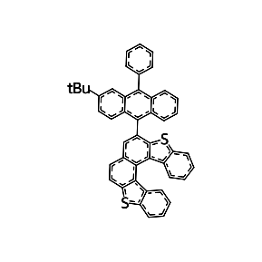 CC(C)(C)c1ccc2c(-c3cc4ccc5sc6ccccc6c5c4c4c3sc3ccccc34)c3ccccc3c(-c3ccccc3)c2c1